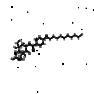 CCCCCCCCCCOc1ccc(C(=O)OC2CC(C)(CC)N(OC(C)=O)C(C)(CC)C2C)cc1